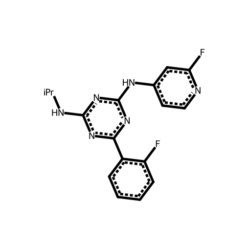 CC(C)Nc1nc(Nc2ccnc(F)c2)nc(-c2ccccc2F)n1